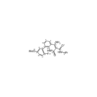 CCCNC(=O)c1c(N)c2cccc(-c3cc(OC)ccc3F)c2[nH]c1=O